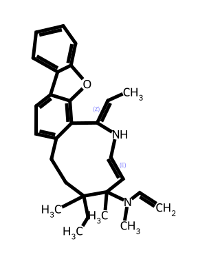 C=CN(C)C1(C)/C=C/N/C(=C\C)c2c(ccc3c2oc2ccccc23)CCC1(C)CC